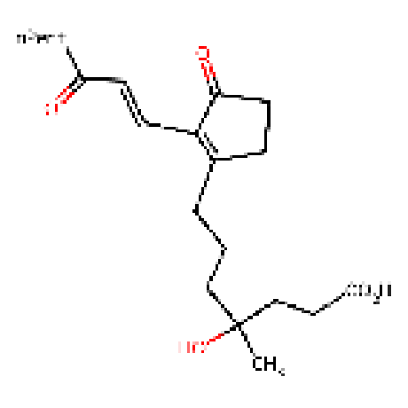 CCCCCC(=O)C=CC1=C(CCCC(C)(O)CCC(=O)O)CCC1=O